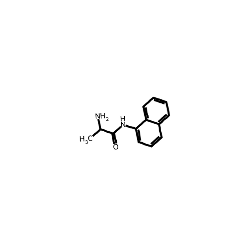 CC(N)C(=O)Nc1cccc2ccccc12